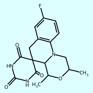 CC1CN2c3ccc(F)cc3CC3(C(=O)NC(=O)NC3=O)C2C(C)O1